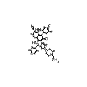 CCN1CCC(n2cc([C@@H](Nc3cc(Cl)cc4c(Nc5ccc(F)c(Cl)c5)c(C#N)cnc34)c3ccccc3)nn2)CC1